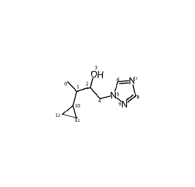 CC(C(O)Cn1cncn1)C1CC1